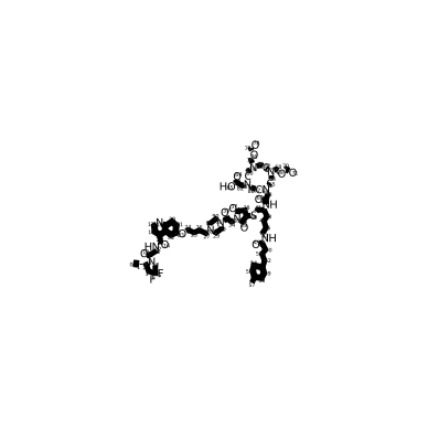 C#C[C@H]1CC(F)(F)CN1C(=O)CNC(=O)c1ccnc2ccc(OCCCCN3CCN(C(=O)CN4C(=O)CC(SCC(CCCCNC(=O)CCCc5ccc(C)cc5)NC(=O)CN5CCN(COC=O)CCN(COC=O)CCN(CC(=O)O)CC5)C4=O)CC3)cc12